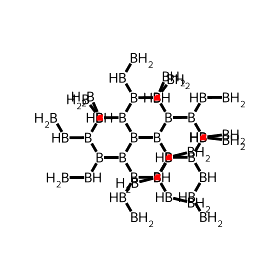 BBBB(BB)B(BB)B(B(BB)B(BB)BB)B(B(BB)B(BB)BB)B(B(BB)B(BB)BB)B(BB)B(BB)BB